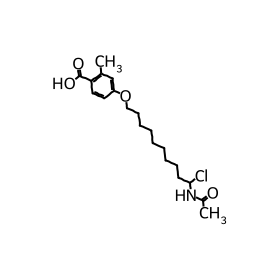 CC(=O)NC(Cl)CCCCCCCCCOc1ccc(C(=O)O)c(C)c1